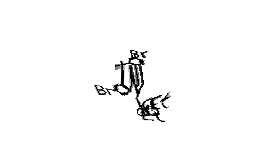 CCOP(=O)(CCCCN1c2ccc(Br)cc2C(C)(C)c2cc(Br)ccc21)OCC